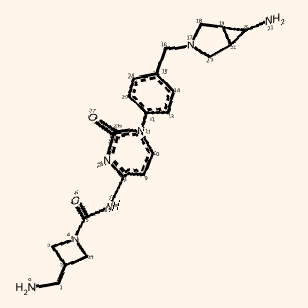 NCC1CN(C(=O)Nc2ccn(-c3ccc(CN4CC5C(N)C5C4)cc3)c(=O)n2)C1